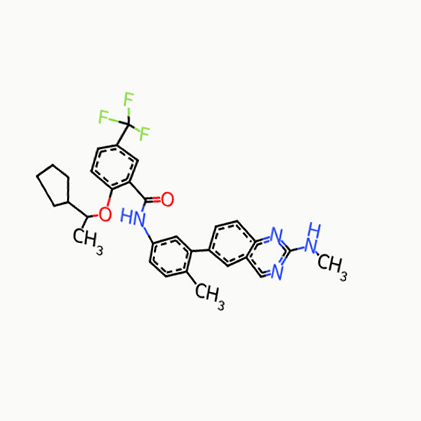 CNc1ncc2cc(-c3cc(NC(=O)c4cc(C(F)(F)F)ccc4OC(C)C4CCCC4)ccc3C)ccc2n1